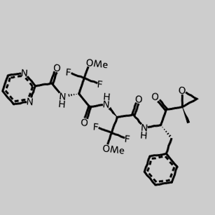 COC(F)(F)[C@@H](NC(=O)c1ncccn1)C(=O)N[C@@H](C(=O)N[C@@H](Cc1ccccc1)C(=O)[C@@]1(C)CO1)C(F)(F)OC